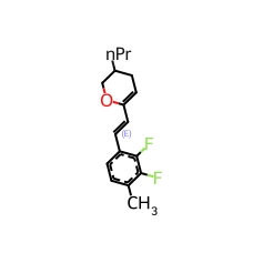 CCCC1CC=C(/C=C/c2ccc(C)c(F)c2F)OC1